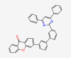 O=c1c2ccccc2oc2cc(-c3cccc(-c4cccc(-c5nc(-c6ccccc6)cc(-c6ccccc6)n5)c4)c3)ccc12